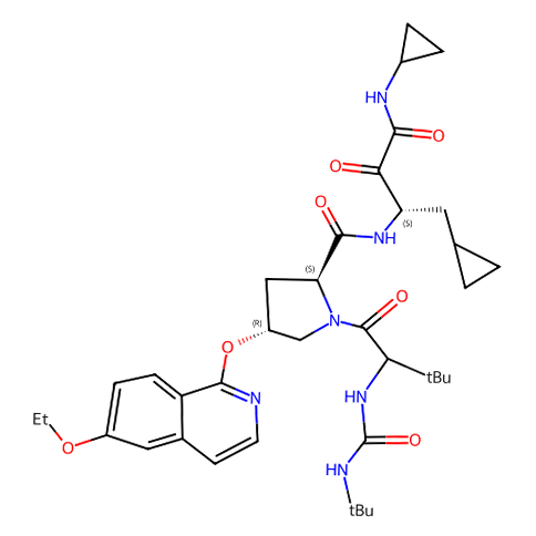 CCOc1ccc2c(O[C@@H]3C[C@@H](C(=O)N[C@@H](CC4CC4)C(=O)C(=O)NC4CC4)N(C(=O)C(NC(=O)NC(C)(C)C)C(C)(C)C)C3)nccc2c1